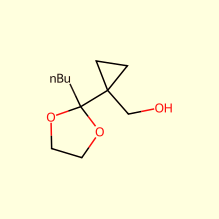 CCCCC1(C2(CO)CC2)OCCO1